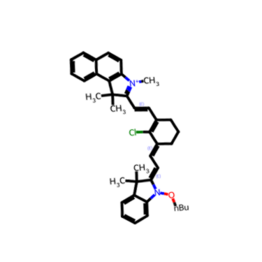 CCCCON1/C(=C/C=C2\CCCC(/C=C/C3=[N+](C)c4ccc5ccccc5c4C3(C)C)=C2Cl)C(C)(C)c2ccccc21